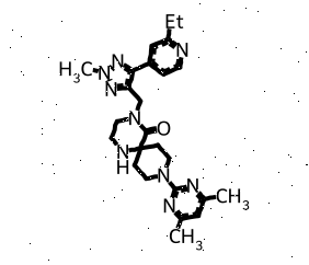 CCc1cc(-c2nn(C)nc2CN2CCNC3(CCN(c4nc(C)cc(C)n4)CC3)C2=O)ccn1